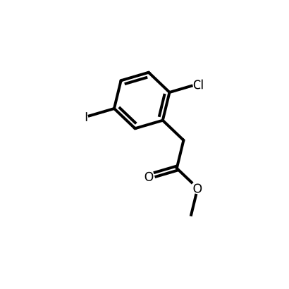 COC(=O)Cc1cc(I)ccc1Cl